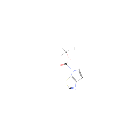 CC(C)(C)OC(=O)n1ccc2ncsc21